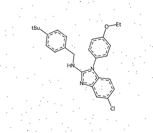 CCOc1ccc(-n2c(NCc3ccc(C(C)(C)C)cc3)nc3cc(Cl)ccc32)cc1